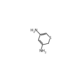 NC1=CSCC(N)=C1